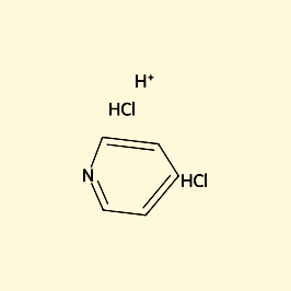 Cl.Cl.[H+].c1ccncc1